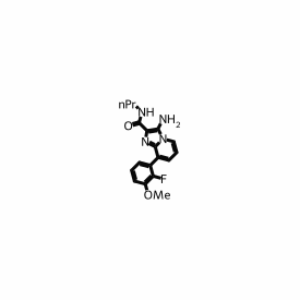 CCCNC(=O)c1nc2c(-c3cccc(OC)c3F)cccn2c1N